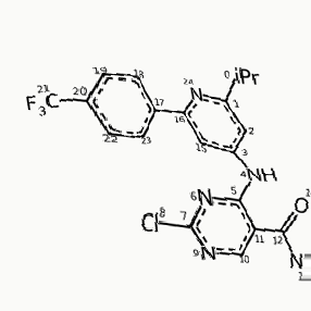 CC(C)c1cc(Nc2nc(Cl)ncc2C(N)=O)cc(-c2ccc(C(F)(F)F)cc2)n1